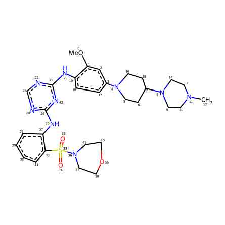 COc1cc(N2CCC(N3CCN(C)CC3)CC2)ccc1Nc1ncnc(Nc2ccccc2S(=O)(=O)N2CCOCC2)n1